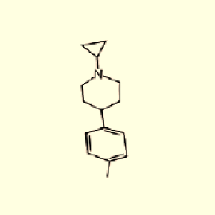 Cc1ccc(C2CCN(C3CC3)CC2)cc1